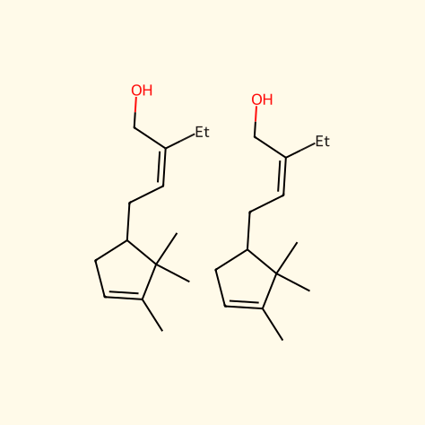 CCC(=CCC1CC=C(C)C1(C)C)CO.CCC(=CCC1CC=C(C)C1(C)C)CO